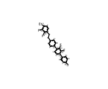 CCc1ccc(CCc2ccc(-c3ccc(-c4ccc(C)cc4)c(F)c3F)cc2)c(F)c1F